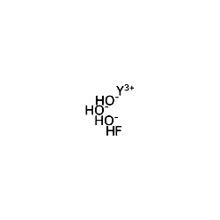 F.[OH-].[OH-].[OH-].[Y+3]